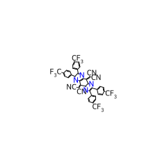 N#CC(C#N)=c1c2nc(-c3ccc(C(F)(F)F)cc3)c(-c3ccc(C(F)(F)F)cc3)nc2c(=C(C#N)C#N)c2nc(-c3ccc(C(F)(F)F)cc3)c(-c3ccc(C(F)(F)F)cc3)nc12